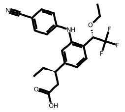 CCO[C@@H](c1ccc([C@H](CC)CC(=O)O)cc1Nc1ccc(C#N)cc1)C(F)(F)F